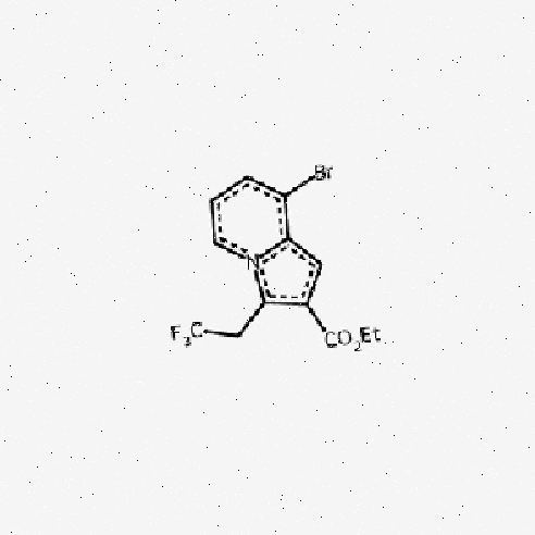 CCOC(=O)c1cc2c(Br)cccn2c1CC(F)(F)F